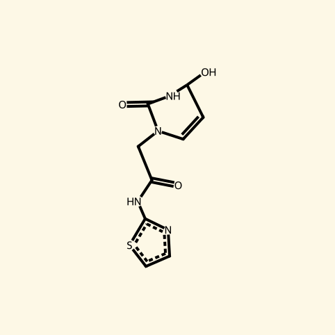 O=C(CN1C=CC(O)NC1=O)Nc1nccs1